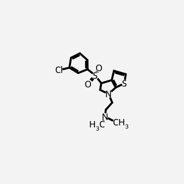 CN(C)CCN1CC(S(=O)(=O)c2cccc(Cl)c2)c2ccsc21